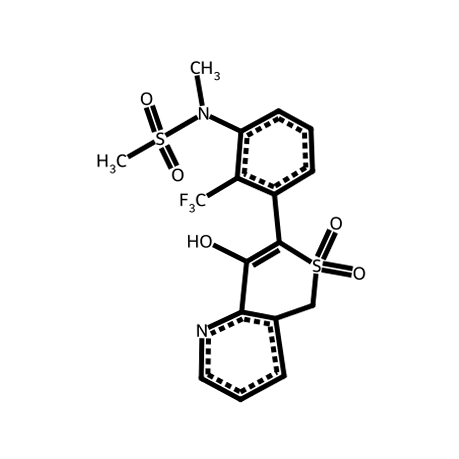 CN(c1cccc(C2=C(O)c3ncccc3CS2(=O)=O)c1C(F)(F)F)S(C)(=O)=O